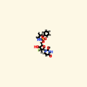 CC(C)C(C)NP(=O)(OC[C@H]1O[C@@H](n2ccc(=O)[nH]c2=O)[C@](C)(F)C1O)Oc1ccccc1